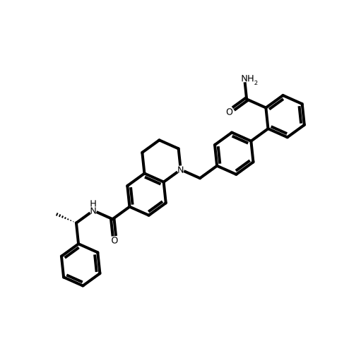 C[C@H](NC(=O)c1ccc2c(c1)CCCN2Cc1ccc(-c2ccccc2C(N)=O)cc1)c1ccccc1